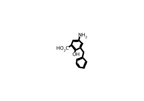 Nc1cc(Cc2ccccc2)c(O)c(C(=O)O)c1